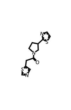 O=C(Cc1cncs1)N1CCC(c2nccs2)C1